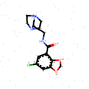 O=C(NCC1CN2CCN1CC2)c1cc(Cl)cc2c1OCO2